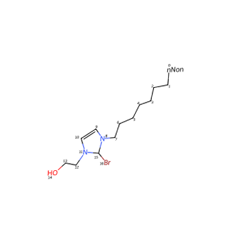 CCCCCCCCCCCCCCCCN1C=CN(CCO)C1Br